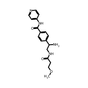 COCCC(=O)NCC(N)c1ccc(C(=O)Nc2ccncc2)cc1